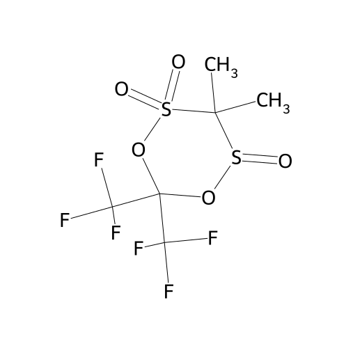 CC1(C)S(=O)OC(C(F)(F)F)(C(F)(F)F)OS1(=O)=O